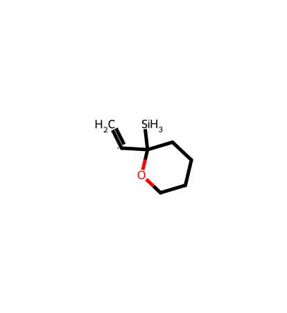 C=[C]C1([SiH3])CCCCO1